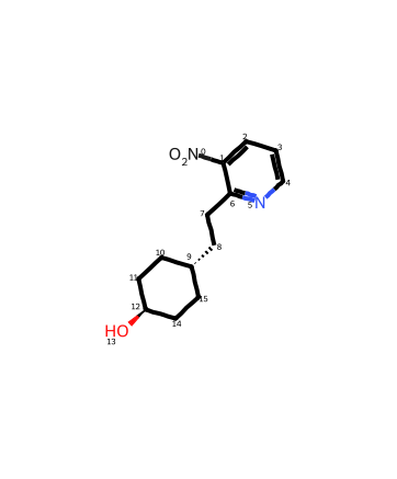 O=[N+]([O-])c1cccnc1CC[C@H]1CC[C@H](O)CC1